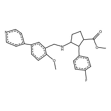 COC(=O)C1CCC(NCc2cc(-c3ccncc3)ccc2OC)C1c1ccc(F)cc1